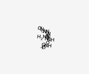 CC(=O)N1CCCN(c2cc(-n3nc(Nc4ccc(NC(=O)OC(C)(C)C)cc4)nc3N)ncn2)CC1